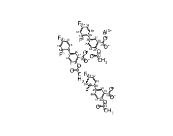 CC(=O)Oc1ccc(-c2ccc(F)cc2F)cc1C(=O)[O-].CC(=O)Oc1ccc(-c2ccc(F)cc2F)cc1C(=O)[O-].CC(=O)Oc1ccc(-c2ccc(F)cc2F)cc1C(=O)[O-].[Al+3]